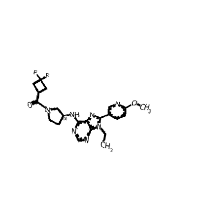 CCn1c(-c2ccc(OC)nc2)nc2c(N[C@H]3CCN(C(=O)C4CC(F)(F)C4)C3)ncnc21